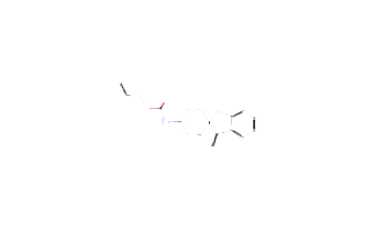 C=CCOC(=O)NC1CCC2(CC1)Cc1ccccc1C2=C